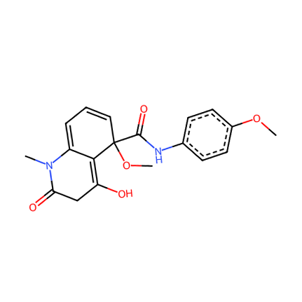 COc1ccc(NC(=O)C2(OC)C=CC=C3C2=C(O)CC(=O)N3C)cc1